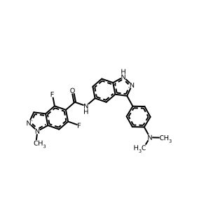 CN(C)c1ccc(-c2n[nH]c3ccc(NC(=O)c4c(F)cc5c(cnn5C)c4F)cc23)cc1